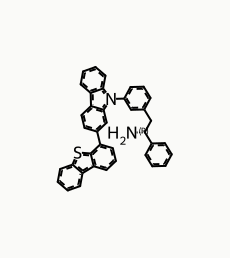 N[C@H](Cc1cccc(-n2c3ccccc3c3ccc(-c4cccc5c4sc4ccccc45)cc32)c1)c1ccccc1